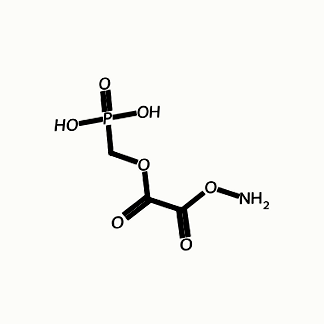 NOC(=O)C(=O)OCP(=O)(O)O